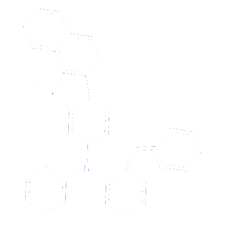 Cc1ccccc1N(c1ccc2c(c1)C(C)(C)c1c-2ccc2ccccc12)c1cccc2c1oc1ccccc12